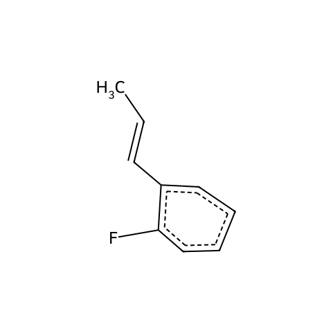 C/C=C/c1ccccc1F